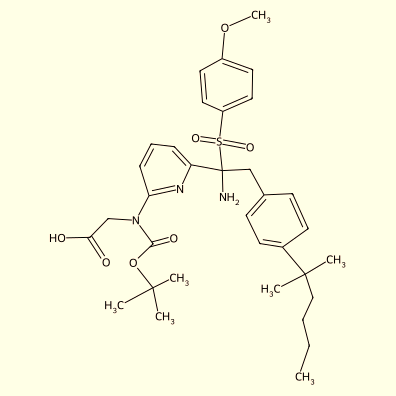 CCCCC(C)(C)c1ccc(CC(N)(c2cccc(N(CC(=O)O)C(=O)OC(C)(C)C)n2)S(=O)(=O)c2ccc(OC)cc2)cc1